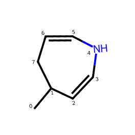 CC1C=CNC=CC1